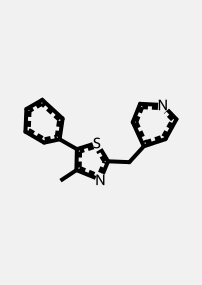 Cc1nc(Cc2ccncc2)sc1-c1ccccc1